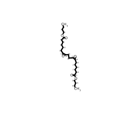 CCCCOC(=O)CCCCCC1OC1CCC1OC1CCCCCC(=O)OCCCC